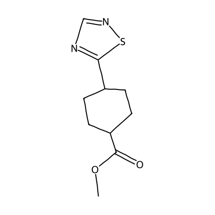 COC(=O)C1CCC(c2ncns2)CC1